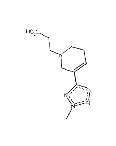 Cn1nnc(C2=CCCN(CCC(=O)O)C2)n1